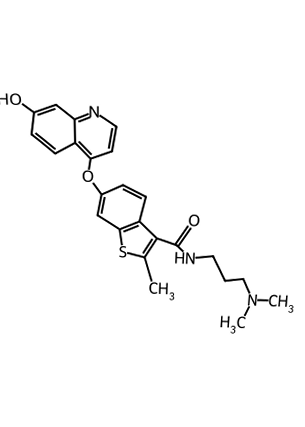 Cc1sc2cc(Oc3ccnc4cc(O)ccc34)ccc2c1C(=O)NCCCN(C)C